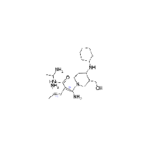 C/C(N)=C/C(C(=O)NC(C)N)=C(\N)N1CCC(NC2CCCCC2)C(CO)C1